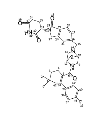 CC1(C)CCC(C(=O)N2CC3CC2CN3Cc2ccc3c(c2)CN(C2CCC(=O)NC2=O)C3=O)=C(c2ccc(F)cc2)C1